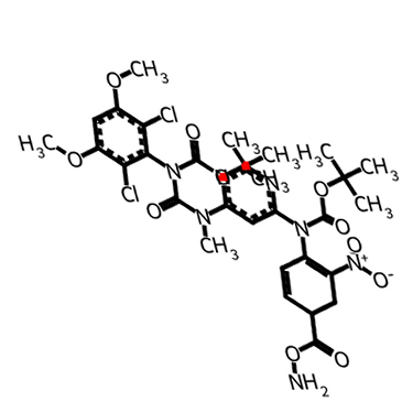 COc1cc(OC)c(Cl)c(N(C(=O)OC(C)(C)C)C(=O)N(C)c2cc(N(C(=O)OC(C)(C)C)C3=C([N+](=O)[O-])CC(C(=O)ON)C=C3)ncn2)c1Cl